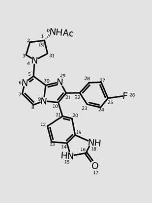 CC(=O)N[C@H]1CCN(c2nccn3c(-c4ccc5[nH]c(=O)[nH]c5c4)c(-c4ccc(F)cc4)nc23)C1